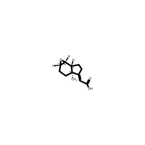 C[C@]12CC[C@@H]3O[C@@H]3[C@@H]1CCC2=CC(=O)O